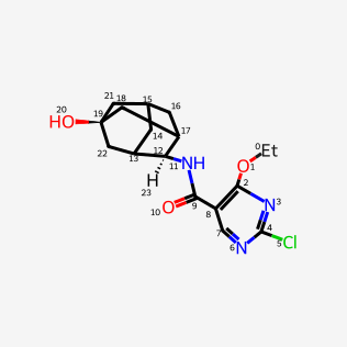 CCOc1nc(Cl)ncc1C(=O)N[C@H]1C2CC3CC1C[C@@](O)(C3)C2